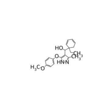 CCC1(C(O)c2c(C)n[nH]c2Oc2ccc(OC)cc2)C=CC=CC1